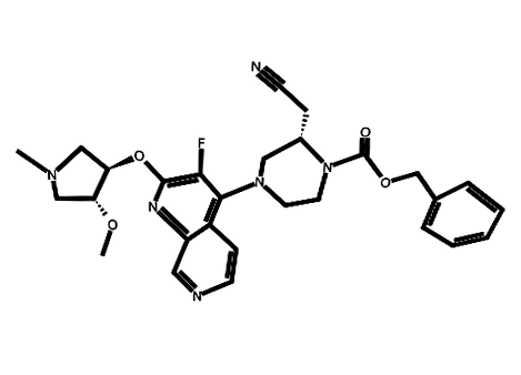 CO[C@@H]1CN(C)C[C@H]1Oc1nc2cnccc2c(N2CCN(C(=O)OCc3ccccc3)[C@@H](CC#N)C2)c1F